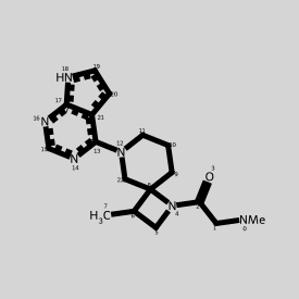 CNCC(=O)N1CC(C)C12CCCN(c1ncnc3[nH]ccc13)C2